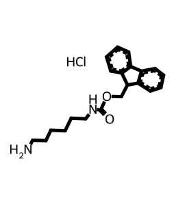 Cl.NCCCCCCNC(=O)OCC1c2ccccc2-c2ccccc21